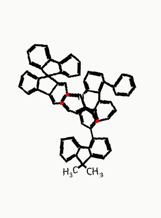 CC1(C)c2ccccc2-c2c(-c3ccc(N(c4ccc5c(c4)C4(c6ccccc6-c6ccccc64)c4ccccc4-5)c4cccc(-c5ccccc5)c4-c4ccccc4-c4ccccc4)cc3)cccc21